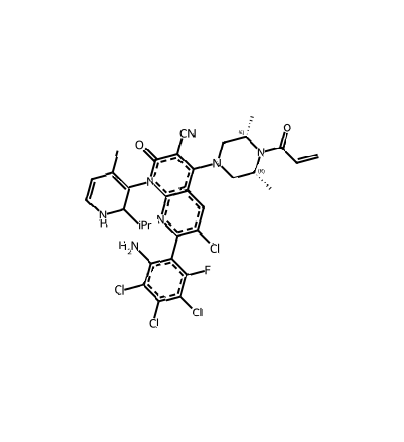 C=CC(=O)N1[C@H](C)CN(c2c(C#N)c(=O)n(C3=C(C)C=CNC3C(C)C)c3nc(-c4c(N)c(Cl)c(Cl)c(Cl)c4F)c(Cl)cc23)C[C@@H]1C